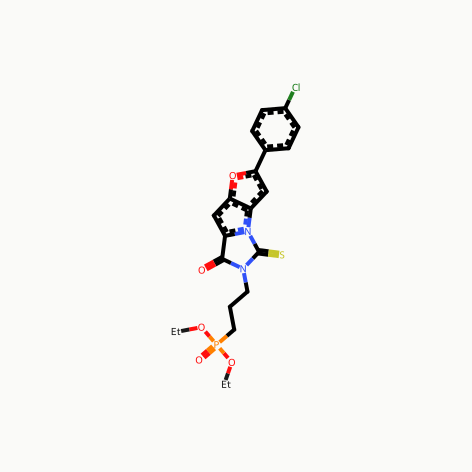 CCOP(=O)(CCCN1C(=O)c2cc3oc(-c4ccc(Cl)cc4)cc3n2C1=S)OCC